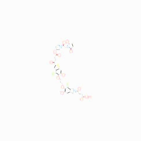 COc1cc2c(c(F)c1OCCCOc1c(OC)cc3sc(C(=O)CCC(=O)OC4CCN(C(=O)CN5C(=O)C=CC5=O)C4)cc3c1F)CN(C(=O)CCC(=O)O)C2